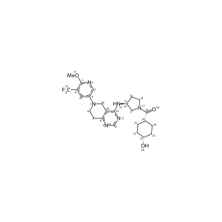 COc1ncc(N2CCc3ncnc(N[C@H]4CCN(C(=O)[C@H]5CC[C@@H](O)CC5)C4)c3C2)cc1C(F)(F)F